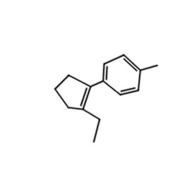 CCC1=C(c2ccc(C)cc2)CCC1